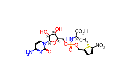 C[C@H](NP(=O)(OCc1ccc([N+](=O)[O-])s1)OC[C@H]1O[C@@H](n2ccc(N)nc2=O)[C@@H](O)[C@H]1O)C(=O)O